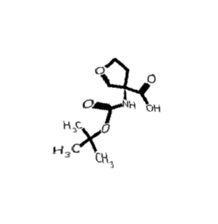 CC(C)(C)OC(=O)N[C@]1(C(=O)O)CCOC1